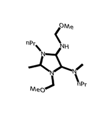 CCCN(C)C1C(NCOC)N(CCC)C(C)N1COC